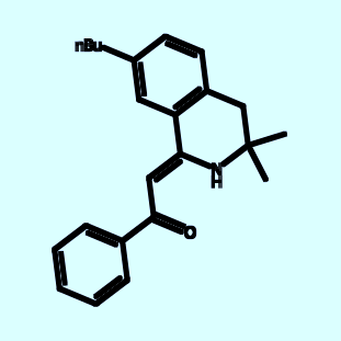 CCCCc1ccc2c(c1)/C(=C/C(=O)c1ccccc1)NC(C)(C)C2